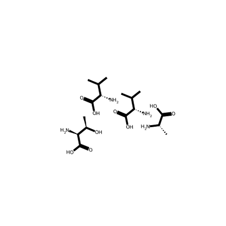 CC(C)[C@H](N)C(=O)O.CC(C)[C@H](N)C(=O)O.C[C@@H](O)[C@H](N)C(=O)O.C[C@H](N)C(=O)O